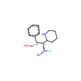 CC(=O)N(F)[C@H](C1CCCCN1)[C@H](CO)c1ccccc1